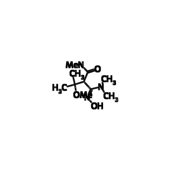 CNC(=O)C(C(=NO)N(C)C)C(C)(C)OC